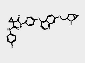 O=C(Nc1ccc(F)cc1)C1(C(=O)Nc2ccc(Oc3ccnc4cc(OCC5CC6CC6N5)ccc34)cn2)CC1